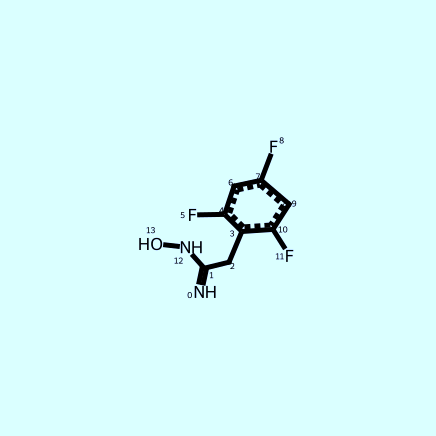 N=C(Cc1c(F)cc(F)cc1F)NO